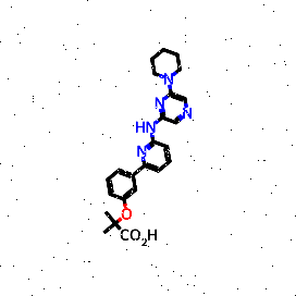 CC(C)(Oc1cccc(-c2cccc(Nc3cncc(N4CCCCC4)n3)n2)c1)C(=O)O